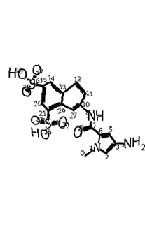 Cn1cc(N)cc1C(=O)Nc1ccc2cc(S(=O)(=O)O)cc(S(=O)(=O)O)c2c1